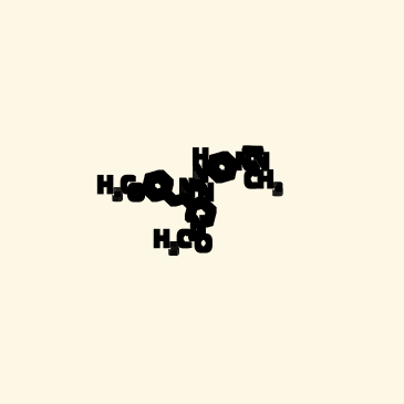 COc1cccc(Cc2nc(Nc3ccc(-n4ccnc4C)cc3)nc3c2CN(C(C)=O)CC3)c1